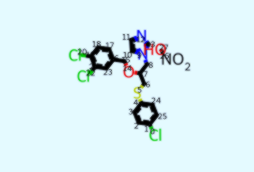 Clc1ccc(SCC(Cn2ccnc2)OCc2ccc(Cl)c(Cl)c2)cc1.O=[N+]([O-])O